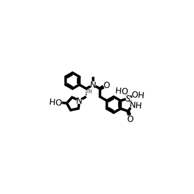 CN(C(=O)Cc1ccc2c(c1)S(O)(O)NC2=O)[C@H](CN1CCC(O)C1)c1ccccc1